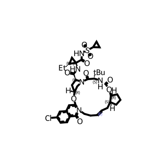 CC[C@@H]1C[C@]1(NC(=O)[C@@H]1C[C@@H]2CN1C(=O)[C@H](C(C)(C)C)NC(=O)O[C@@H]1CCC[C@H]1C/C=C/CCn1c(cc3cc(Cl)ccc3c1=O)O2)C(=O)NS(=O)(=O)C1CC1